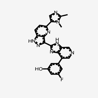 Cc1ncc(-c2ccc3[nH]nc(-c4nc5c(-c6cc(O)cc(F)c6)cncc5[nH]4)c3n2)n1C